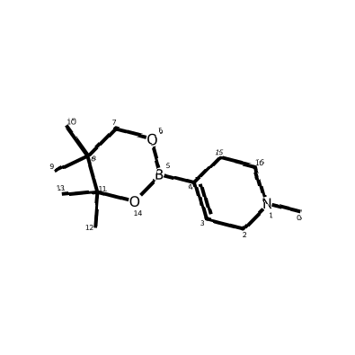 CN1CC=C(B2OCC(C)(C)C(C)(C)O2)CC1